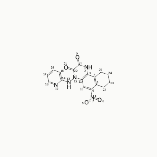 O=c1[nH]c2c3c(c([N+](=O)[O-])cc2n(Nc2ccccn2)c1=O)CCCC3